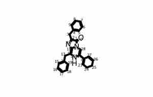 O=c1c(Cc2ccccc2)nc2c(Cc3ccccc3)[nH]c(C3=CCCC=C3)cn1-2